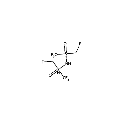 O=[SH](CF)(N[SH](=O)(CF)C(F)(F)F)C(F)(F)F